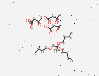 CC(=O)CC(=O)[O-].CC(=O)CC(=O)[O-].CC(=O)CC(=O)[O-].CCCCOC[C]([Ti+3])(OCCCC)OCCCC